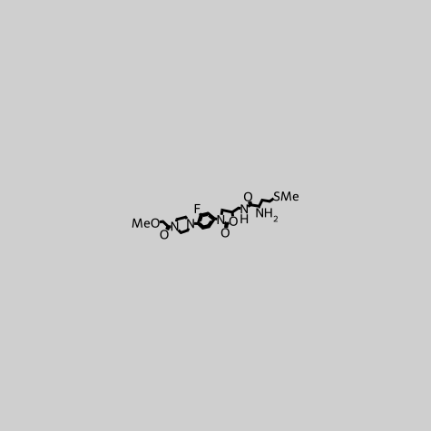 COCC(=O)N1CCN(c2ccc(N3CC(CNC(=O)[C@@H](N)CCSC)OC3=O)cc2F)CC1